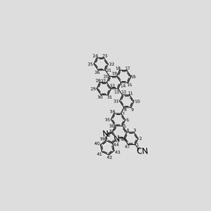 N#Cc1ccc2c3cc(-c4cccc(-c5c6ccccc6c(-c6ccccc6)c6ccccc56)c4)ccc3c3nc4ccccc4n3c2c1